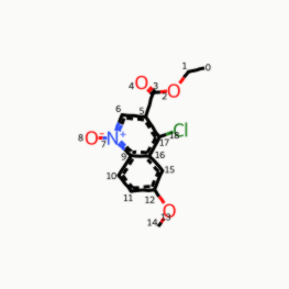 CCOC(=O)c1c[n+]([O-])c2ccc(OC)cc2c1Cl